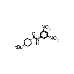 CC(C)(C)[C@H]1CC[C@H](C(=O)Nc2cc([N+](=O)[O-])cc([N+](=O)[O-])c2)CC1